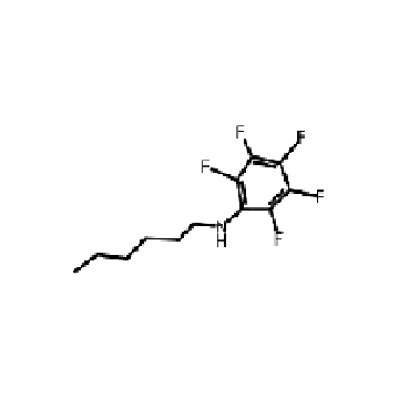 CCCCCCNc1c(F)c(F)c(F)c(F)c1F